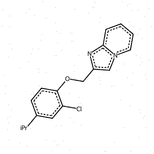 CC(C)c1ccc(OCc2cn3ccccc3n2)c(Cl)c1